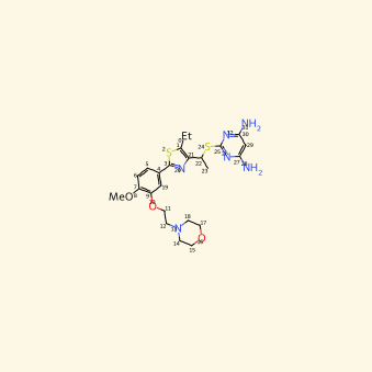 CCc1sc(-c2ccc(OC)c(OCCN3CCOCC3)c2)nc1C(C)Sc1nc(N)cc(N)n1